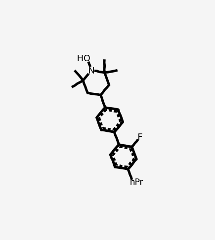 CCCc1ccc(-c2ccc(C3CC(C)(C)N(O)C(C)(C)C3)cc2)c(F)c1